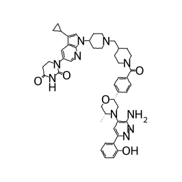 C[C@@H]1CO[C@H](c2ccc(C(=O)N3CCC(CN4CCC(n5cc(C6CC6)c6cc(N7CCC(=O)NC7=O)cnc65)CC4)CC3)cc2)CN1c1cc(-c2ccccc2O)nnc1N